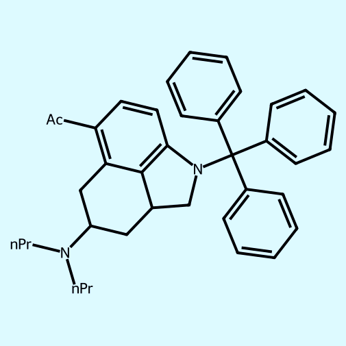 CCCN(CCC)C1Cc2c(C(C)=O)ccc3c2C(C1)CN3C(c1ccccc1)(c1ccccc1)c1ccccc1